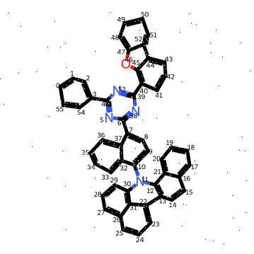 c1ccc(-c2nc(-c3ccc(N4c5c(ccc6ccccc56)-c5cccc6cccc4c56)c4ccccc34)nc(-c3cccc4c3oc3ccccc34)n2)cc1